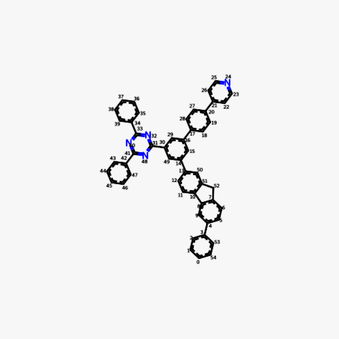 c1ccc(-c2ccc3c(c2)-c2ccc(-c4cc(-c5ccc(-c6ccncc6)cc5)cc(-c5nc(-c6ccccc6)nc(-c6ccccc6)n5)c4)cc2C3)cc1